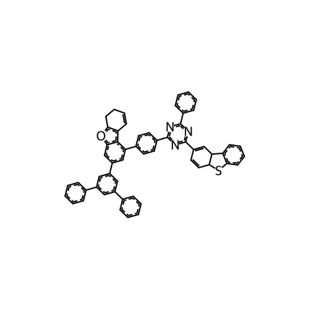 C1=Cc2c(oc3cc(-c4cc(-c5ccccc5)cc(-c5ccccc5)c4)cc(-c4ccc(-c5nc(C6=CC7c8ccccc8SC7C=C6)nc(-c6ccccc6)n5)cc4)c23)CC1